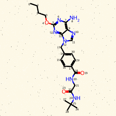 CCCCOc1nc(N)c2ncn(Cc3ccc(C(=O)NCC(=O)NC(C)(C)C)cc3)c2n1